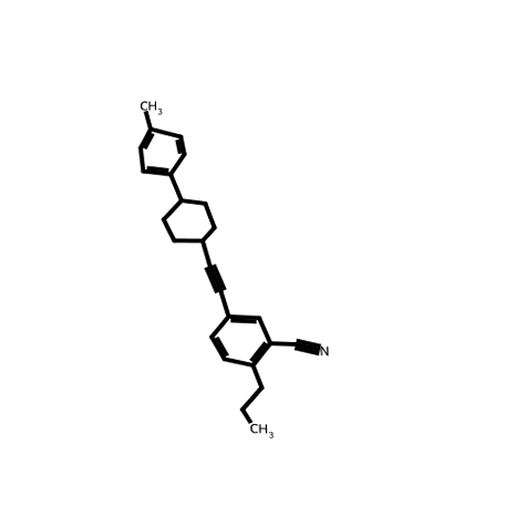 CCCc1ccc(C#CC2CCC(c3ccc(C)cc3)CC2)cc1C#N